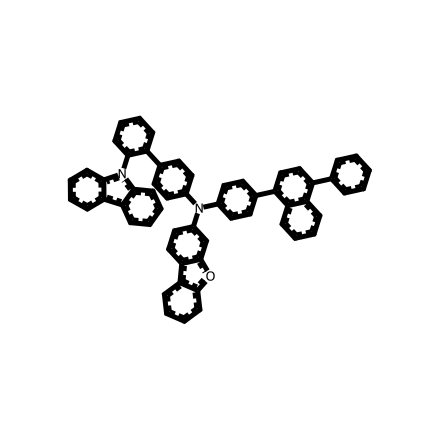 c1ccc(-c2ccc(-c3ccc(N(c4ccc(-c5ccccc5-n5c6ccccc6c6ccccc65)cc4)c4ccc5c(c4)oc4ccccc45)cc3)c3ccccc23)cc1